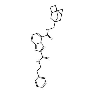 O=C(NCCc1ccncc1)c1cn2c(C(=O)NCC34CC5CC(C3)C53CC3C4)cccc2n1